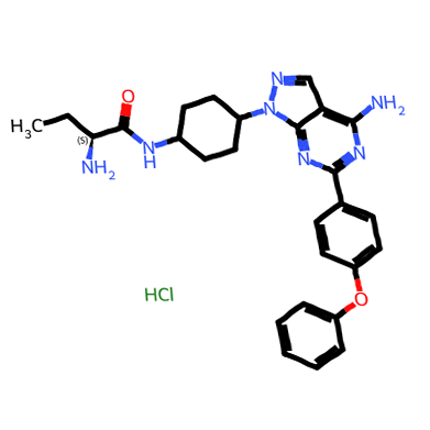 CC[C@H](N)C(=O)NC1CCC(n2ncc3c(N)nc(-c4ccc(Oc5ccccc5)cc4)nc32)CC1.Cl